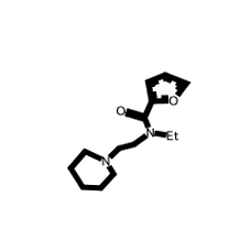 CCN(CCN1CCCCC1)C(=O)c1ccco1